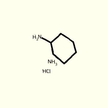 Cl.N.NC1CCCCC1